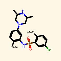 COc1ccc(N2CC(C)NC(C)C2)cc1NS(=O)(=O)c1cc(Br)ccc1OC